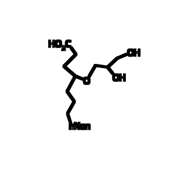 CCCCCCCCCCCCC(CCC(=O)O)OCC(O)CO